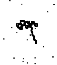 CCCCCCCC[S+]([O-])C(C)Cc1ccc2c(c1)OCO2.[SiH3]Cl